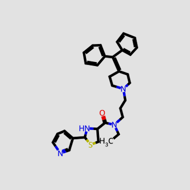 CCN(CCCN1CCC(=C(c2ccccc2)c2ccccc2)CC1)C(=O)C1CSC(c2cccnc2)N1